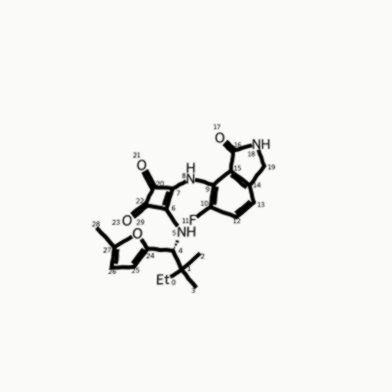 CCC(C)(C)[C@@H](Nc1c(Nc2c(F)ccc3c2C(=O)NC3)c(=O)c1=O)c1ccc(C)o1